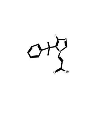 CC(C)(c1ccccc1)c1c(F)ncn1C=CC(=O)O